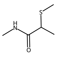 CNC(=O)C(C)SC